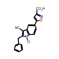 N#Cc1c(Cc2ccccc2)n(Cl)c2ccc(-c3cc(C(=O)O)no3)cc12